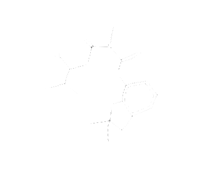 CN(C(=O)Oc1cccc2c1OC(C)(C)C2)C(=O)OC(Cl)C(Cl)Cl